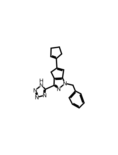 C1=C(C2=Cc3c(c(-c4nnn[nH]4)nn3Cc3ccccc3)C2)CCC1